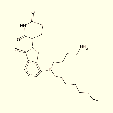 NCCCCN(CCCCCCO)c1cccc2c1CN(C1CCC(=O)NC1=O)C2=O